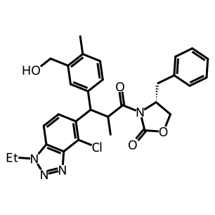 CCn1nnc2c(Cl)c(C(c3ccc(C)c(CO)c3)C(C)C(=O)N3C(=O)OC[C@H]3Cc3ccccc3)ccc21